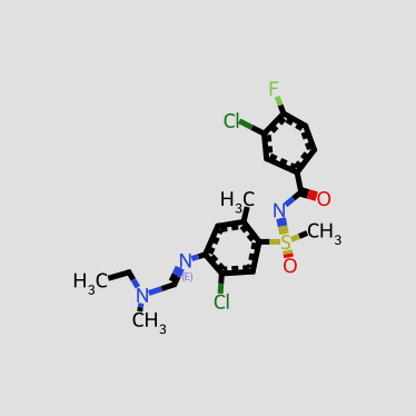 CCN(C)/C=N/c1cc(C)c(S(C)(=O)=NC(=O)c2ccc(F)c(Cl)c2)cc1Cl